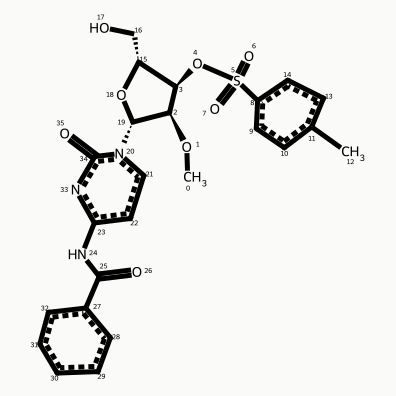 CO[C@@H]1[C@H](OS(=O)(=O)c2ccc(C)cc2)[C@@H](CO)O[C@H]1n1ccc(NC(=O)c2ccccc2)nc1=O